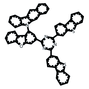 c1ccc2cc3c(cc2c1)c1ccccc1n3-c1cc(-c2nc(-c3ccc4c(c3)sc3ccccc34)nc(-c3ccc4c(c3)sc3ccccc34)n2)cc2oc3ccccc3c12